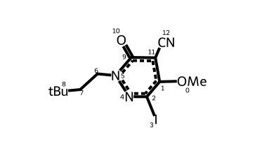 COc1c(I)nn(CCC(C)(C)C)c(=O)c1C#N